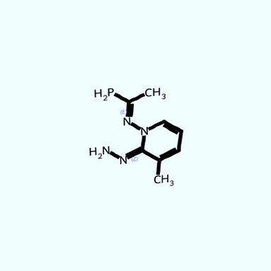 C/C(P)=N\n1cccc(C)/c1=N/N